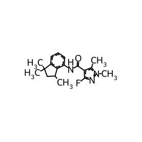 Cc1c(C(=O)Nc2cccc3c2C(C)CC3(C)C)c(F)nn1C